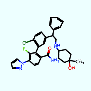 CC1(O)CCC(NCC(c2ccccc2)c2ccc(Cl)c(-c3c(C(N)=O)ccc(-n4cccn4)c3F)c2)CC1